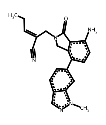 CC/C=C(/C#N)CN1Cc2c(-c3ccc4cnn(C)c4c3)ccc(N)c2C1=O